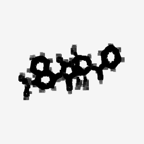 O=C1[C@@H]2[C@H]3C[C@H](CN3C(=O)c3ccccc3)N2C(=O)N1c1ccc([N+](=O)[O-])c2ccccc12